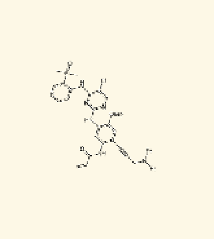 C=CC(=O)Nc1cc(Nc2ncc(Cl)c(Nc3ccccc3P(C)(C)=O)n2)c(OC)cc1C#CCN(CC)CC